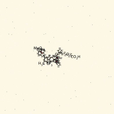 COc1ccc(CN(Cc2ccc(OC)cc2)c2cc(C)c(C(F)(F)F)c(-c3c(Cl)cc4c(N5CC6CCC(C5)N6C(=O)OC(C)(C)C)nc(OC[C@@H]5CCCN5CCCOCCC(=O)O)nc4c3F)n2)cc1